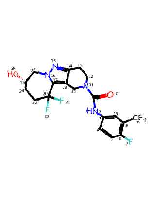 O=C(Nc1ccc(F)c(C(F)(F)F)c1)N1CCc2nn3c(c2C1)C(F)(F)CC[C@H](O)C3